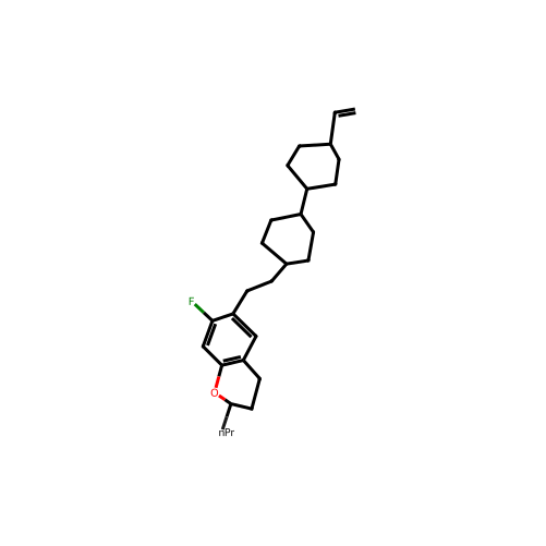 C=CC1CCC(C2CCC(CCc3cc4c(cc3F)OC(CCC)CC4)CC2)CC1